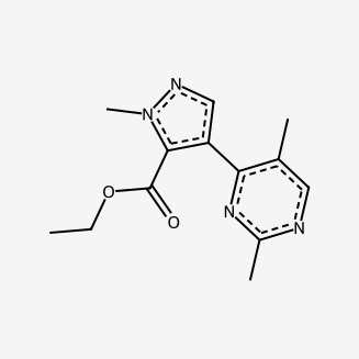 CCOC(=O)c1c(-c2nc(C)ncc2C)cnn1C